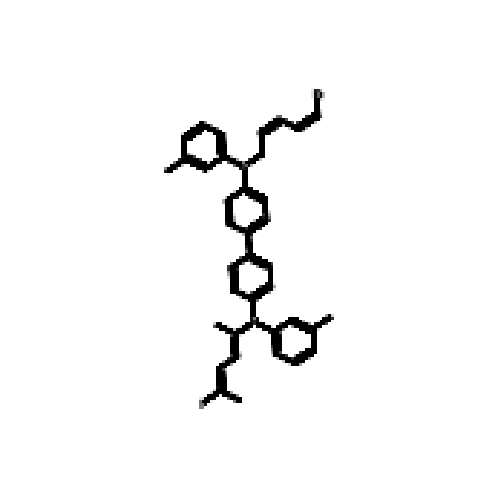 CC/C=C\C=C/CN(c1ccc(-c2ccc(N(/C(C)=C/C=C(\C)I)c3cccc(C)c3)cc2)cc1)c1cccc(C)c1